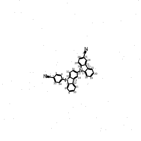 N#Cc1ccc(-n2c3ccccc3c3cc(-n4c5ccccc5c5cc(C#N)ccc54)ccc32)cc1